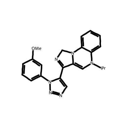 COc1cccc(-n2nncc2C2=NCN3C2=CN(C(C)C)c2ccccc23)c1